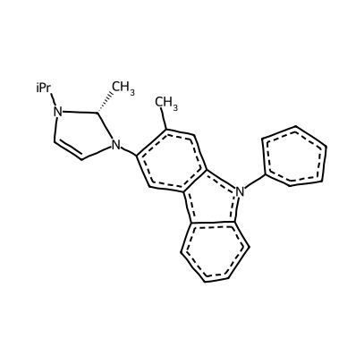 Cc1cc2c(cc1N1C=CN(C(C)C)[C@@H]1C)c1ccccc1n2-c1ccccc1